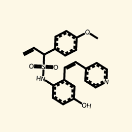 C=CC(c1ccc(OC)cc1)S(=O)(=O)Nc1ccc(O)cc1C=Cc1ccncc1